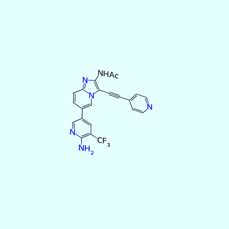 CC(=O)Nc1nc2ccc(-c3cnc(N)c(C(F)(F)F)c3)cn2c1C#Cc1ccncc1